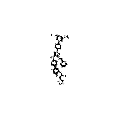 CC(Cn1cnnn1)Oc1cc(-c2cnc(Nc3cn(C4CCC(N5C[C@@H](C)O[C@@H](C)C5)CC4)nc3OCc3ncccn3)nc2)ccc1Cl